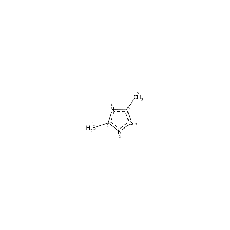 Bc1nsc(C)n1